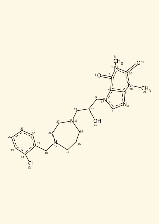 Cn1c(=O)c2c(ncn2CC(O)CN2CCCN(Cc3ccccc3Cl)CC2)n(C)c1=O